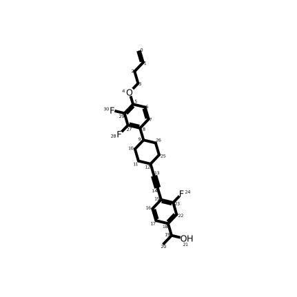 C=CCCOc1ccc(C2CCC(C#Cc3ccc(C(C)O)cc3F)CC2)c(F)c1F